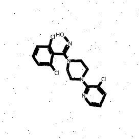 O/N=C(\c1c(Cl)cccc1Cl)N1CCN(c2ncccc2Cl)CC1